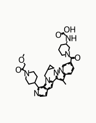 COCC(=O)N1CCC(c2nccc3cc(-c4nn5cc(C(=O)N6CCC[C@@H](NC(=O)O)C6)ccc5c4C)n(CC4CC4)c23)CC1